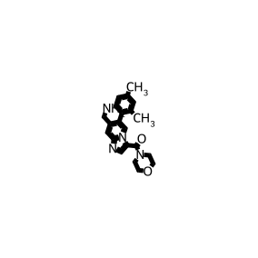 Cc1ccc(-c2cn3c(C(=O)N4CCOCC4)cnc3cc2CN)c(C)c1